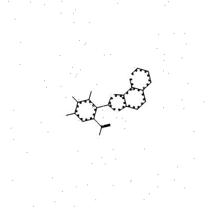 NC(=O)c1cc(O)c(O)c(O)c1-c1nc2ccc3cccnc3c2[nH]1